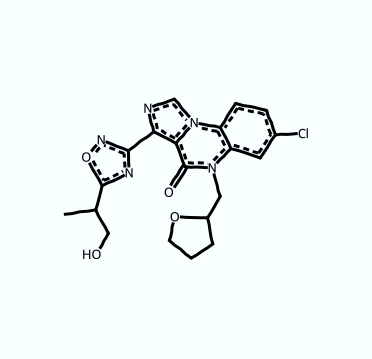 CC(CO)c1nc(-c2ncn3c2c(=O)n(CC2CCCO2)c2cc(Cl)ccc23)no1